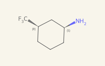 N[C@H]1CCC[C@@H](C(F)(F)F)C1